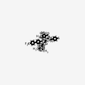 [2H]C([2H])(Sc1nc(=O)c2c(n1C([2H])([2H])C(=O)N(Cc1ccc(-c3ccc(C(F)(F)F)cc3)cc1)C([2H])([2H])C([2H])([2H])N(C([2H])([2H])C)C([2H])([2H])C)C([2H])([2H])C([2H])(C)C2([2H])[2H])c1ccc(F)cc1